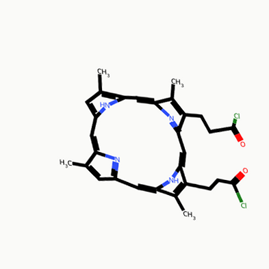 CC1=Cc2cc3[nH]c(cc4nc(cc5[nH]c(cc1n2)cc5C)C(C)=C4CCC(=O)Cl)c(CCC(=O)Cl)c3C